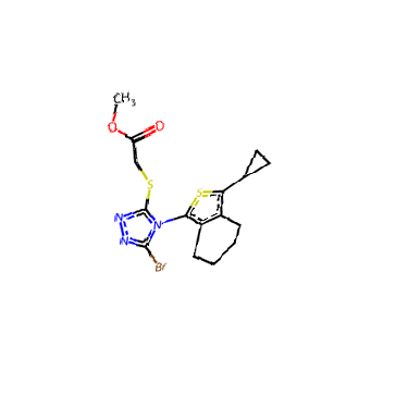 COC(=O)CSc1nnc(Br)n1-c1sc(C2CC2)c2c1CCCC2